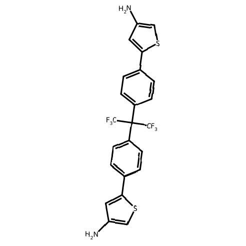 Nc1csc(-c2ccc(C(c3ccc(-c4cc(N)cs4)cc3)(C(F)(F)F)C(F)(F)F)cc2)c1